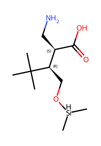 C[SiH](C)OC[C@H]([C@@H](CN)C(=O)O)C(C)(C)C